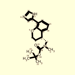 CN(C[C@@H]1CCOc2c(-c3cnc[nH]3)cccc21)C(=O)OC(C)(C)C